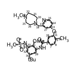 COc1c(NC(=O)c2ccc(C)c(Oc3ccnc(CN4CCCN(C)CC4)c3)c2)cc(C(C)(C)C)cc1NS(C)(=O)=O